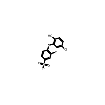 CCS(=O)(=O)c1ccc(Sc2cc(Cl)ccc2O)c(Cl)c1